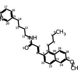 CCCCc1c(C=CC(=O)NCCCCc2cccnc2)ccc2cc(OC)ccc12